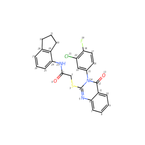 O=C(CSc1nc2ccccc2c(=O)n1-c1ccc(F)c(Cl)c1)Nc1cccc2c1CCC2